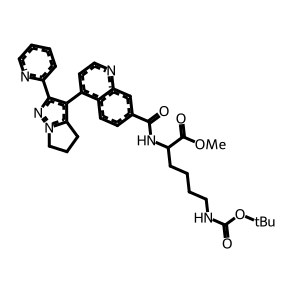 COC(=O)C(CCCCNC(=O)OC(C)(C)C)NC(=O)c1ccc2c(-c3c(-c4ccccn4)nn4c3CCC4)ccnc2c1